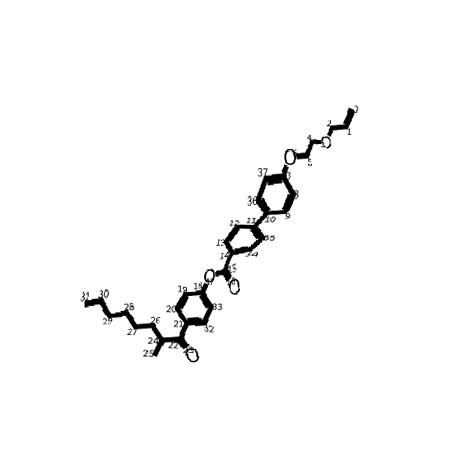 C=CCOCCOc1ccc(-c2ccc(C(=O)Oc3ccc(C(=O)C(C)CCCCCC)cc3)cc2)cc1